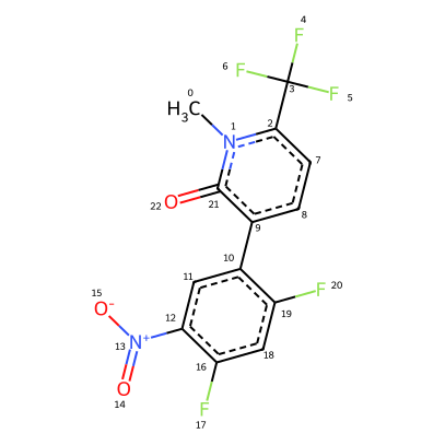 Cn1c(C(F)(F)F)ccc(-c2cc([N+](=O)[O-])c(F)cc2F)c1=O